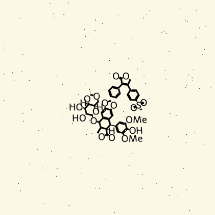 COc1cc([C@@H]2c3cc4c(cc3C(O[C@@H]3O[C@@H]5CO[C@@H](C)O[C@H]5[C@H](O)[C@H]3O)C3COC(=O)[C@@H]32)OCO4)cc(OC)c1O.CS(=O)(=O)c1ccc(C2=C(c3ccccc3)C(=O)OC2)cc1